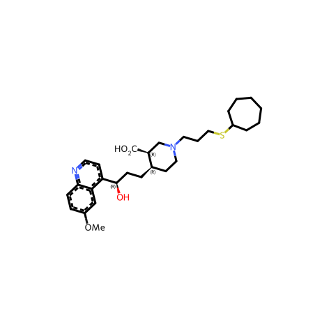 COc1ccc2nccc([C@H](O)CC[C@@H]3CCN(CCCSC4CCCCCC4)C[C@@H]3C(=O)O)c2c1